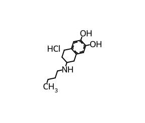 CCCCNC1CCc2cc(O)c(O)cc2C1.Cl